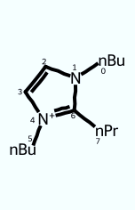 CCCCn1cc[n+](CCCC)c1CCC